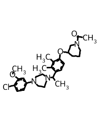 COc1cc(N2CCN(C(C)c3ccc(OC4CCCN(C(C)=O)C4)c(C)c3C)CC2)ccc1Cl